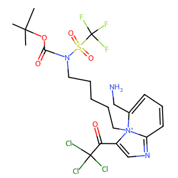 CC(C)(C)OC(=O)N(CCCCC[N+]12C(CN)=CC=CC1=NC=C2C(=O)C(Cl)(Cl)Cl)S(=O)(=O)C(F)(F)F